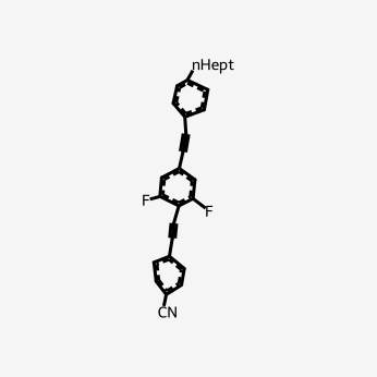 CCCCCCCc1ccc(C#Cc2cc(F)c(C#Cc3ccc(C#N)cc3)c(F)c2)cc1